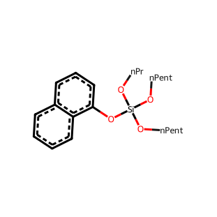 CCCCCO[Si](OCCC)(OCCCCC)Oc1cccc2ccccc12